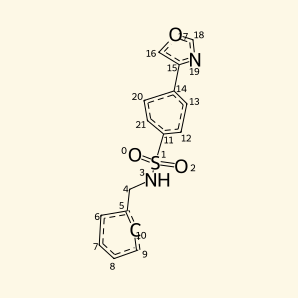 O=S(=O)(NCc1ccccc1)c1ccc(-c2cocn2)cc1